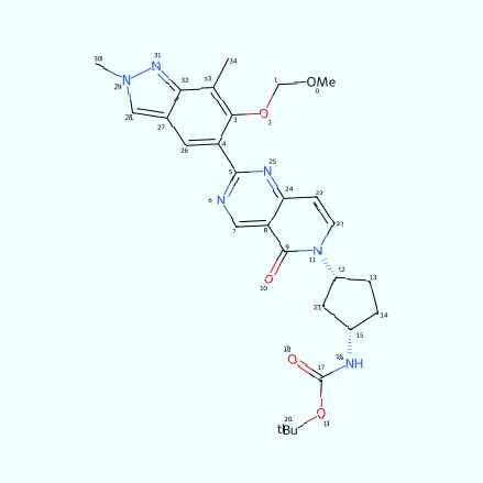 COCOc1c(-c2ncc3c(=O)n([C@@H]4CC[C@H](NC(=O)OC(C)(C)C)C4)ccc3n2)cc2cn(C)nc2c1C